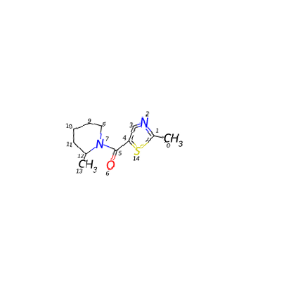 Cc1ncc(C(=O)N2CCCCC2C)s1